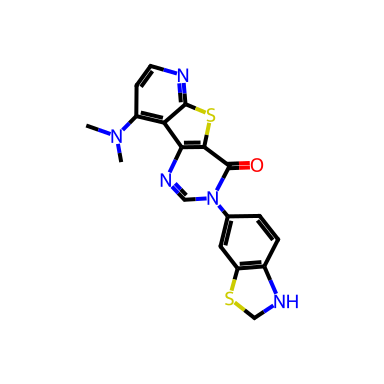 CN(C)c1ccnc2sc3c(=O)n(-c4ccc5c(c4)SCN5)cnc3c12